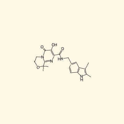 Cc1[nH]c2ccc(CNC(=O)c3nc4n(c(=O)c3O)CCOC4(C)C)cc2c1C